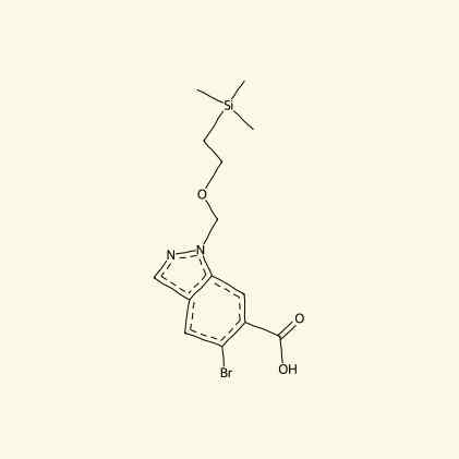 C[Si](C)(C)CCOCn1ncc2cc(Br)c(C(=O)O)cc21